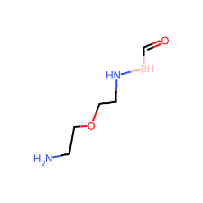 NCCOCCNBC=O